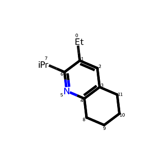 CCc1cc2c(nc1C(C)C)CCCC2